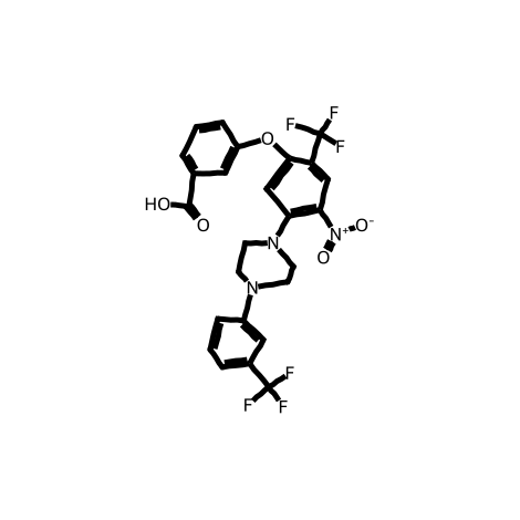 O=C(O)c1cccc(Oc2cc(N3CCN(c4cccc(C(F)(F)F)c4)CC3)c([N+](=O)[O-])cc2C(F)(F)F)c1